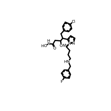 COC(CC(=O)NO)C(Cc1ccc(Cl)cc1)c1ccnn1CCCCNCc1ccc(F)cc1